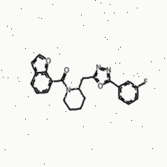 O=C(c1cccc2ccoc12)N1CCCCC1Cc1nnc(-c2cccc(F)c2)o1